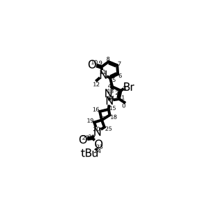 Cc1c(Br)c(-c2cccc(=O)n2C)nn1C1CC2(C1)CN(C(=O)OC(C)(C)C)C2